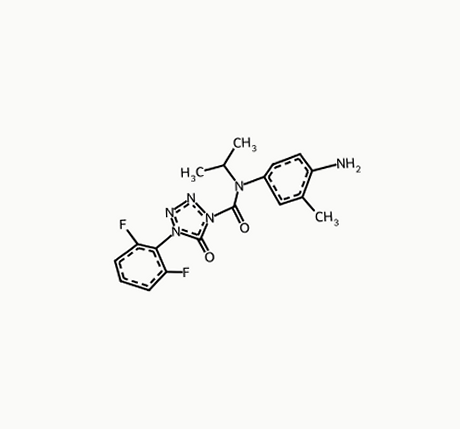 Cc1cc(N(C(=O)n2nnn(-c3c(F)cccc3F)c2=O)C(C)C)ccc1N